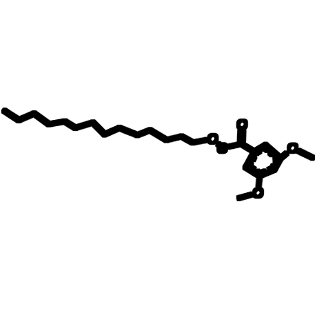 [CH2]CCCCCCCCCCCCCOOC(=O)c1cc(OC)cc(OC)c1